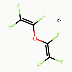 FC(F)=C(F)OC(F)=C(F)F.[K]